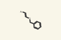 CC(=O)C=COCc1ccccc1